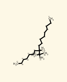 CCCCCCCCCC(C)(CCCCCCC)C(C)(C)N